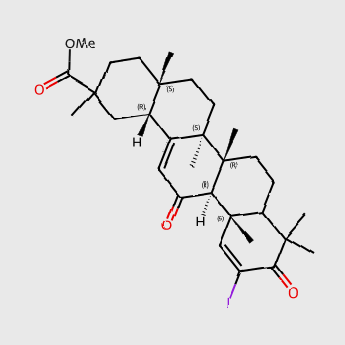 COC(=O)C1(C)CC[C@]2(C)CC[C@]3(C)C(=CC(=O)[C@@H]4[C@@]5(C)C=C(I)C(=O)C(C)(C)C5CC[C@]43C)[C@@H]2C1